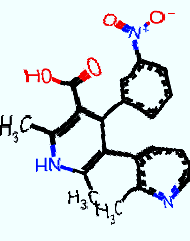 CC1=C(C(=O)O)C(c2cccc([N+](=O)[O-])c2)C(c2cccnc2C)=C(C)N1